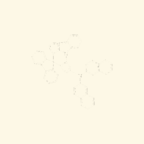 c1ccc2c(c1)-c1ccccc1C21c2ccc(N(c3ccc4ccccc4c3)c3ccc4ccccc4c3)cc2-n2c3ccccc3c3cccc1c32